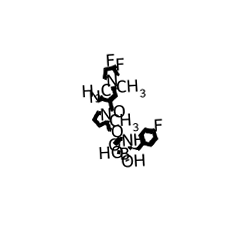 CC(C)(C=C(C#N)C(=O)N1CCC[C@]1(C)COC(=O)N[C@@H](Cc1ccc(F)cc1)B(O)O)N1CCC(F)(F)C1